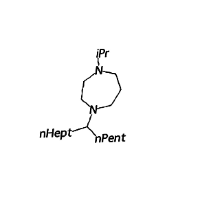 CCCCCCCC(CCCCC)N1CCCN(C(C)C)CC1